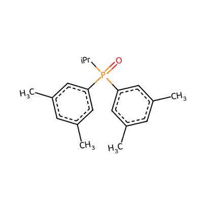 Cc1cc(C)cc(P(=O)(c2cc(C)cc(C)c2)C(C)C)c1